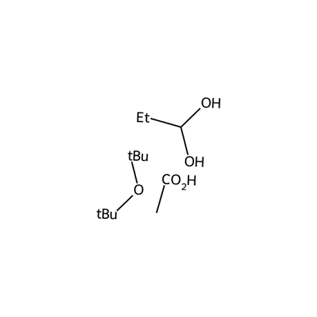 CC(=O)O.CC(C)(C)OC(C)(C)C.CCC(O)O